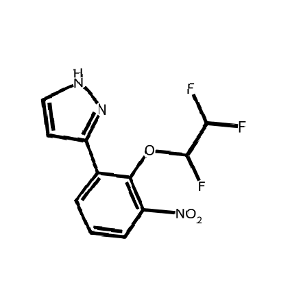 O=[N+]([O-])c1cccc(-c2cc[nH]n2)c1OC(F)C(F)F